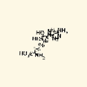 Nc1ncnc2c1nnn2C1OC(CSCCC(N)C(=O)O)C(O)C1O